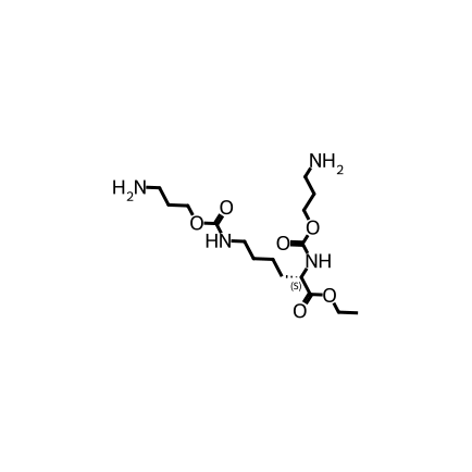 CCOC(=O)[C@H](CCCCNC(=O)OCCCN)NC(=O)OCCCN